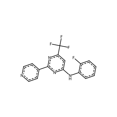 Fc1ccccc1Nc1cc(C(F)(F)F)nc(-c2ccncc2)n1